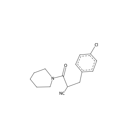 N#CC(Cc1ccc(Cl)cc1)C(=O)N1CCCCC1